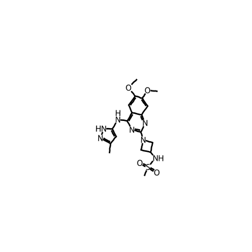 COc1cc2nc(N3CC(NS(C)(=O)=O)C3)nc(Nc3cc(C)n[nH]3)c2cc1OC